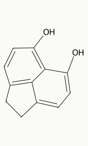 Oc1ccc2c3c(ccc(O)c13)CC2